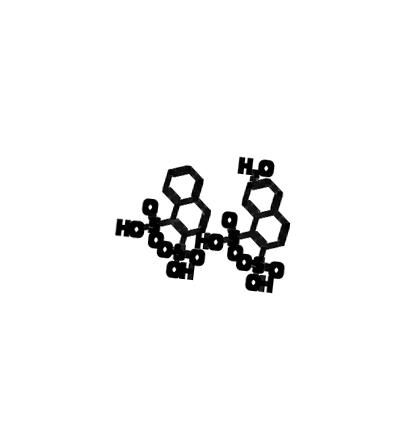 O.O=S(=O)(O)c1ccc2ccccc2c1S(=O)(=O)O.O=S(=O)(O)c1ccc2ccccc2c1S(=O)(=O)O